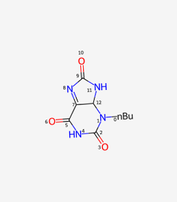 CCCCN1C(=O)NC(=O)C2=NC(=O)NC21